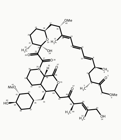 COCC(=O)[C@H](C)C[C@H](C)/C=C/C=C/C=C(\C)[C@H](C[C@@H]1CC[C@@H](C)[C@](O)(C(=O)C(=O)N2CCCC3[C@H](C[C@@H]4CC[C@@H](O)[C@H](OC)C4)C(CC(=O)[C@H](C)/C=C(\C)CO)OC(=O)[C@H]32)O1)OC